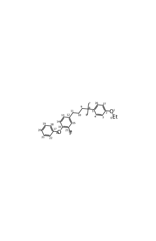 CCOc1ccc(C(C)(C)CCCc2ccc(Oc3ccccc3)c(F)c2)cc1